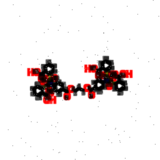 O=C(OCCCOC(=O)c1ccc(N(S(=O)(=O)c2ccccc2C(=O)O)S(=O)(=O)c2ccccc2C(=O)O)cc1)c1ccc(N(S(=O)(=O)c2ccccc2C(=O)O)S(=O)(=O)c2ccccc2C(=O)O)cc1